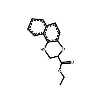 CCOC(=O)C1CNc2c(ccc3ccccc23)O1